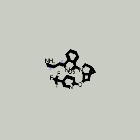 N/C=C\C=C(/N)c1ccccc1C(=O)N1CC2CC23CC(Oc2ccc(C(F)(F)F)cn2)C13